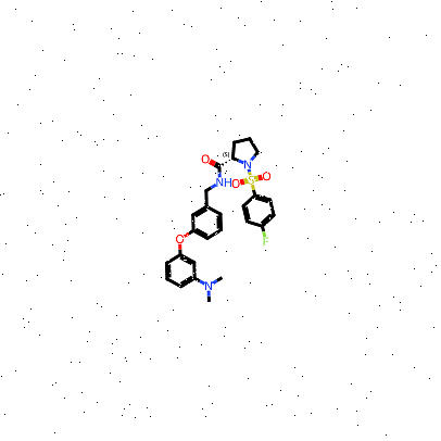 CN(C)c1cccc(Oc2cccc(CNC(=O)[C@@H]3CCCN3S(=O)(=O)c3ccc(F)cc3)c2)c1